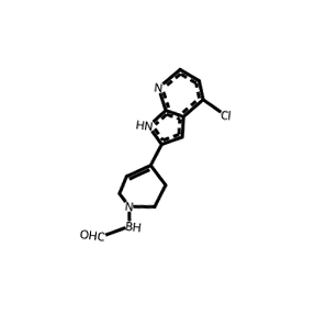 O=CBN1CC=C(c2cc3c(Cl)ccnc3[nH]2)CC1